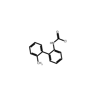 Cc1ccccc1-c1ccccc1NC(=O)Cl